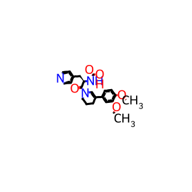 CCOc1cc(C2=CN(C(=O)[C@@H](Cc3ccncc3)NC(=O)O)CCC2)ccc1OC